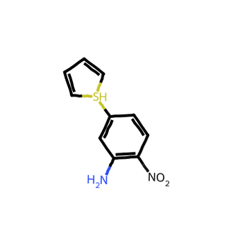 Nc1cc([SH]2C=CC=C2)ccc1[N+](=O)[O-]